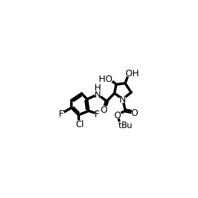 CC(C)(C)OC(=O)N1CC(O)C(O)C1C(=O)Nc1ccc(F)c(Cl)c1F